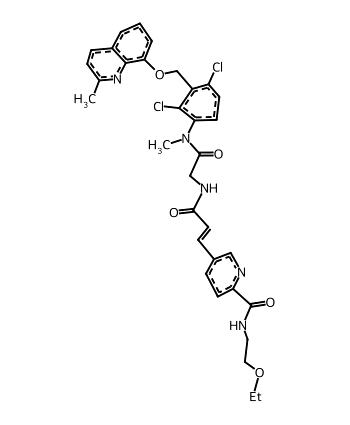 CCOCCNC(=O)c1ccc(C=CC(=O)NCC(=O)N(C)c2ccc(Cl)c(COc3cccc4ccc(C)nc34)c2Cl)cn1